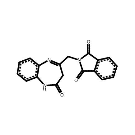 O=C1CC(CN2C(=O)c3ccccc3C2=O)=Nc2ccccc2N1